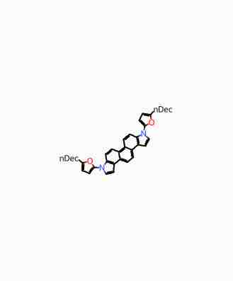 CCCCCCCCCCc1ccc(-n2ccc3c4ccc5c(ccc6c5ccn6-c5ccc(CCCCCCCCCC)o5)c4ccc32)o1